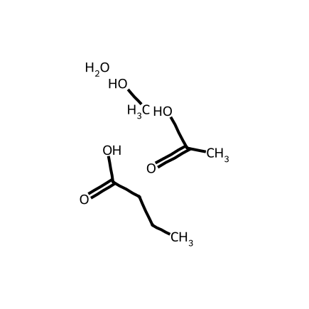 CC(=O)O.CCCC(=O)O.CO.O